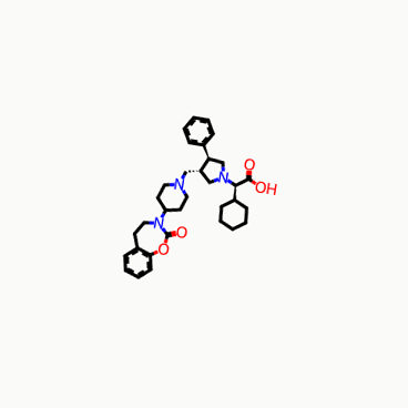 O=C(O)[C@@H](C1CCCCC1)N1C[C@H](CN2CCC(N3CCc4ccccc4OC3=O)CC2)[C@@H](c2ccccc2)C1